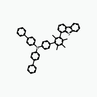 Cc1c(C)c(-c2ccc(N(c3ccc(-c4ccccc4)cc3)c3ccc(-c4ccccc4)cc3)cc2)c(C)c(-c2cccc3c2sc2ccccc23)c1C